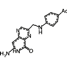 CC(=O)c1ccc(NCc2cnc3cc(N)[nH]c(=O)c3n2)cc1